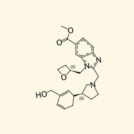 COC(=O)c1ccc2nc(CN3CC[C@@H](C4C=C(CO)C=CC4)C3)n(C[C@@H]3CCO3)c2c1